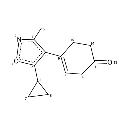 Cc1noc(C2CC2)c1C1=CCC(=O)CC1